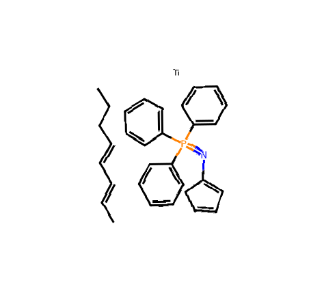 C1=CCC(N=P(c2ccccc2)(c2ccccc2)c2ccccc2)=C1.CC=CC=CCCC.[Ti]